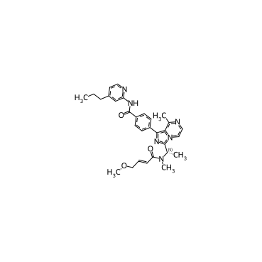 CCCc1ccnc(NC(=O)c2ccc(-c3nc([C@H](C)N(C)C(=O)C=CCOC)n4ccnc(C)c34)cc2)c1